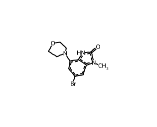 Cn1c(=O)[nH]c2c(N3CCOCC3)cc(Br)cc21